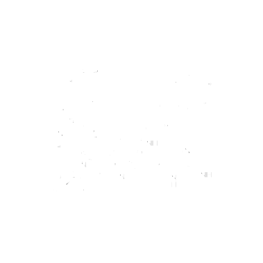 N=C(N)NCC[C@H](NC(=O)C1CC[C@@H]2CCC(NC(=O)Cc3ccccc3)C(=O)N12)C(=O)NCCCc1ccccc1